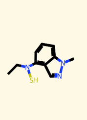 CCN(S)c1cccc2c1cnn2C